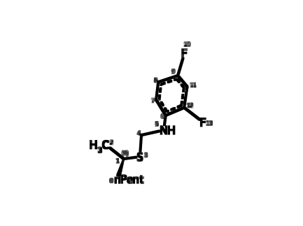 CCCCC[C@@H](C)SCNc1ccc(F)cc1F